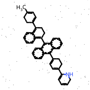 CC1=CC=C(C2=c3ccccc3=C(c3c4ccccc4c(C4=CC=C(C5=CC=CCN5)CC4)c4ccccc34)CC2)CC1